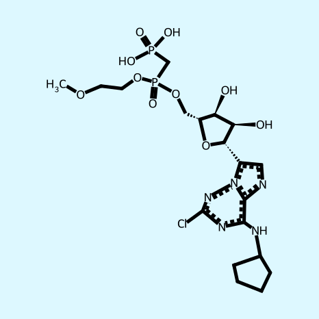 COCCOP(=O)(CP(=O)(O)O)OC[C@H]1O[C@@H](c2cnc3c(NC4CCCC4)nc(Cl)nn23)[C@H](O)[C@@H]1O